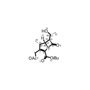 CC(=O)OCC1=C(C(=O)OCC(C)C)N2C(=O)[C@H]([C@@H](C)O)[C@H]2[C@H]1C